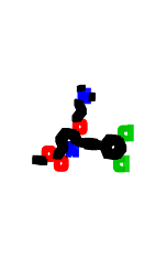 CCOC(=O)c1ccc(OCCCN(C)C)c(C#Cc2cc(Cl)cc(Cl)c2)n1